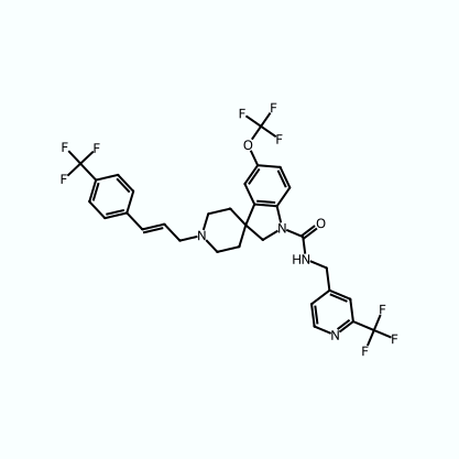 O=C(NCc1ccnc(C(F)(F)F)c1)N1CC2(CCN(CC=Cc3ccc(C(F)(F)F)cc3)CC2)c2cc(OC(F)(F)F)ccc21